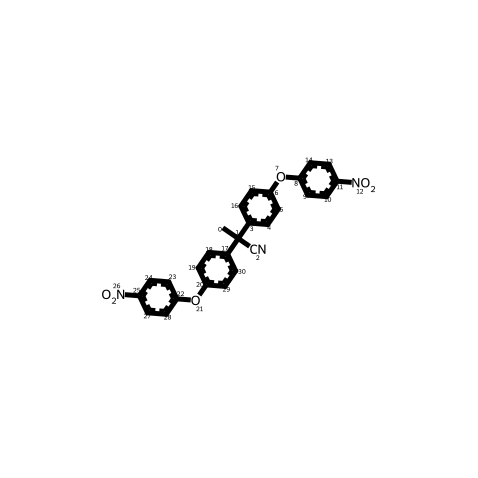 CC(C#N)(c1ccc(Oc2ccc([N+](=O)[O-])cc2)cc1)c1ccc(Oc2ccc([N+](=O)[O-])cc2)cc1